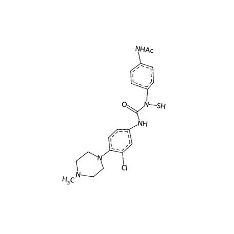 CC(=O)Nc1ccc(N(S)C(=O)Nc2ccc(N3CCN(C)CC3)c(Cl)c2)cc1